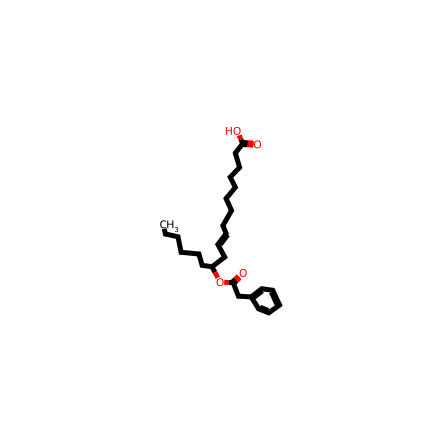 CCCCCCC(CC=CCCCCCCCC(=O)O)OC(=O)Cc1ccccc1